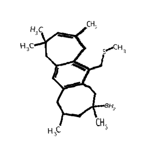 BC1(C)Cc2c(cc3c(c2CSC)CC(C)=CC(C)(C)C3)CC(C)C1